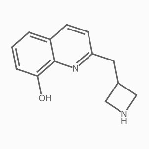 Oc1cccc2ccc(CC3CNC3)nc12